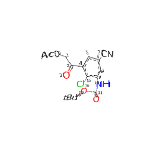 CC(=O)OCC(=O)c1cc(C#N)cc(NC(=O)OC(C)(C)C)c1Cl